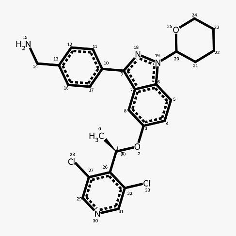 C[C@@H](Oc1ccc2c(c1)c(-c1ccc(CN)cc1)nn2C1CCCCO1)c1c(Cl)cncc1Cl